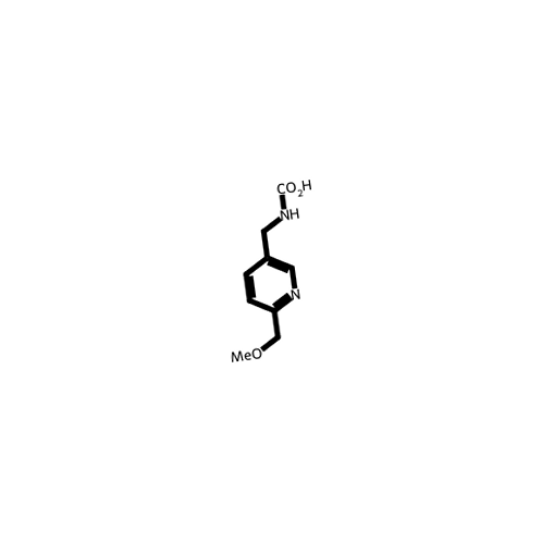 COCc1ccc(CNC(=O)O)cn1